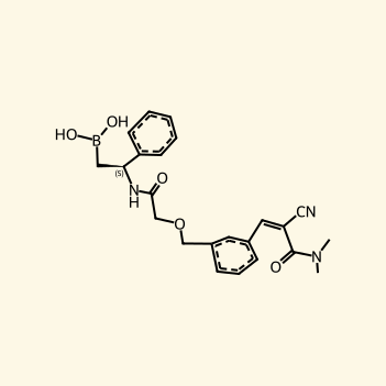 CN(C)C(=O)C(C#N)=Cc1cccc(COCC(=O)N[C@@H](CB(O)O)c2ccccc2)c1